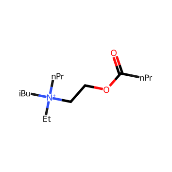 CCCC(=O)OCC[N+](CC)(CCC)C(C)CC